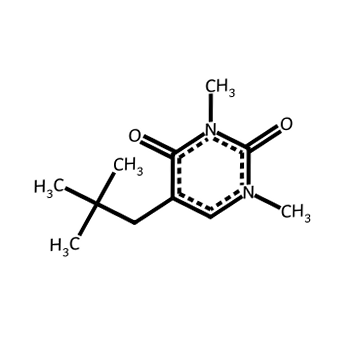 Cn1cc(CC(C)(C)C)c(=O)n(C)c1=O